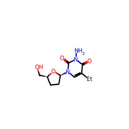 CCc1cn([C@H]2CC[C@@H](CO)O2)c(=O)n(N)c1=O